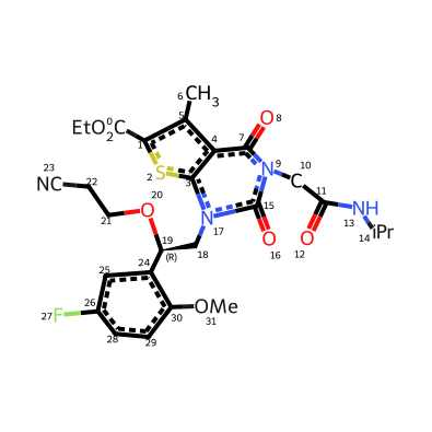 CCOC(=O)c1sc2c(c1C)c(=O)n(CC(=O)NC(C)C)c(=O)n2C[C@H](OCCC#N)c1cc(F)ccc1OC